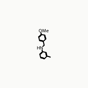 COc1ccc(CNc2cccc(C)c2)cc1